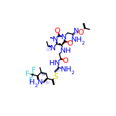 C=C(C)O/N=C(\N)Cn1c(=O)c(NCC(=O)N/C(N)=C/SC(=C)C(/C=C(/C)C(=C)C(F)(F)F)=C/N)c(/N=C\C)n(C)c1=O